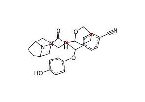 N#Cc1ccc(C(CCCN2C3CCC2CN(C(=O)NC2CCCCO2)C3)Oc2ccc(O)cc2)cc1